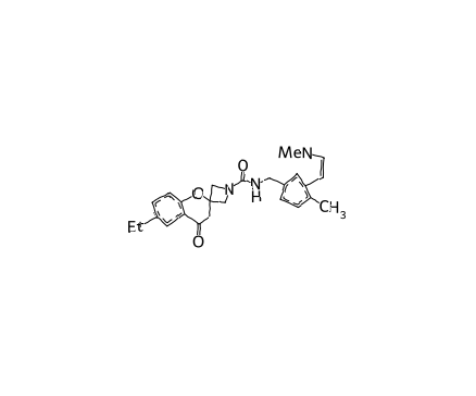 CCc1ccc2c(c1)C(=O)CC1(CN(C(=O)NCc3ccc(C)c(/C=C\NC)c3)C1)O2